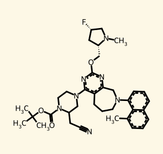 Cc1cccc2cccc(N3CCCc4c(nc(OC[C@@H]5C[C@H](F)CN5C)nc4N4CCN(C(=O)OC(C)(C)C)C(CC#N)C4)C3)c12